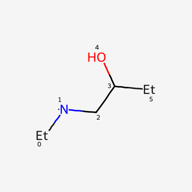 CC[N]CC(O)CC